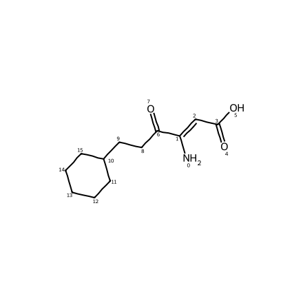 NC(=CC(=O)O)C(=O)CCC1CCCCC1